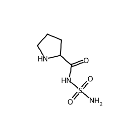 NS(=O)(=O)NC(=O)C1CCCN1